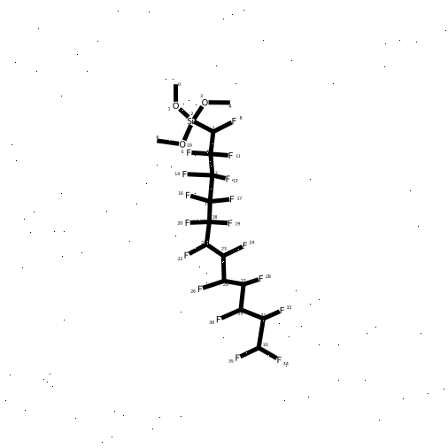 CO[Si](OC)(OC)C(F)C(F)(F)C(F)(F)C(F)(F)C(F)(F)C(F)C(F)C(F)C(F)C(F)C(F)C(F)F